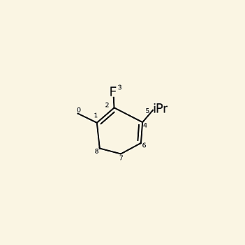 CC1=C(F)C(C(C)C)=CCC1